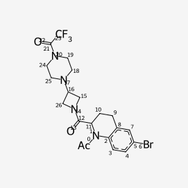 CC(=O)N1c2ccc(Br)cc2CCC1C(=O)N1CC(N2CCN(C(=O)C(F)(F)F)CC2)C1